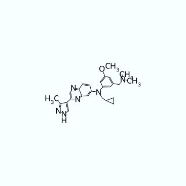 COc1cc(CN(C)C)cc(N(CC2CC2)c2ccc3ncc(-c4c[nH]nc4C)nc3c2)c1